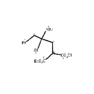 CCCCC(CC)(CC(C)C)CC(C(=O)OCC)C(=O)OCC